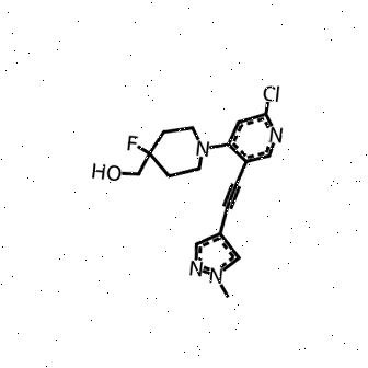 Cn1cc(C#Cc2cnc(Cl)cc2N2CCC(F)(CO)CC2)cn1